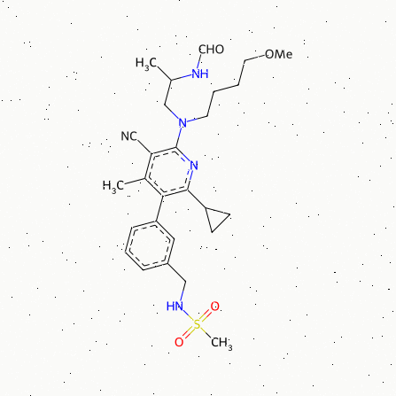 COCCCCN(CC(C)NC=O)c1nc(C2CC2)c(-c2cccc(CNS(C)(=O)=O)c2)c(C)c1C#N